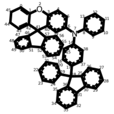 C1=C2Oc3ccc(N(c4ccccc4)c4ccc(C5(c6ccccc6)c6ccccc6-c6ccccc65)cc4)cc3C3(C2=CCC1)c1ccccc1-c1ccccc13